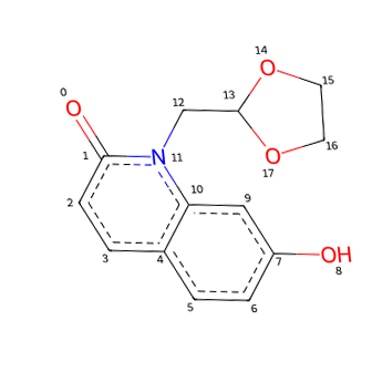 O=c1ccc2ccc(O)cc2n1CC1OCCO1